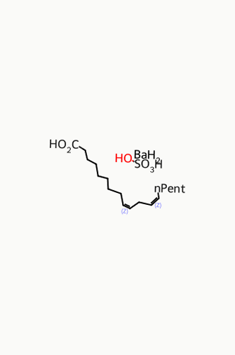 CCCCC/C=C\C/C=C\CCCCCCCC(=O)O.O=S(=O)(O)O.[BaH2]